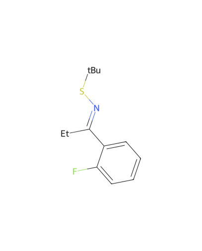 CC/C(=N\SC(C)(C)C)c1ccccc1F